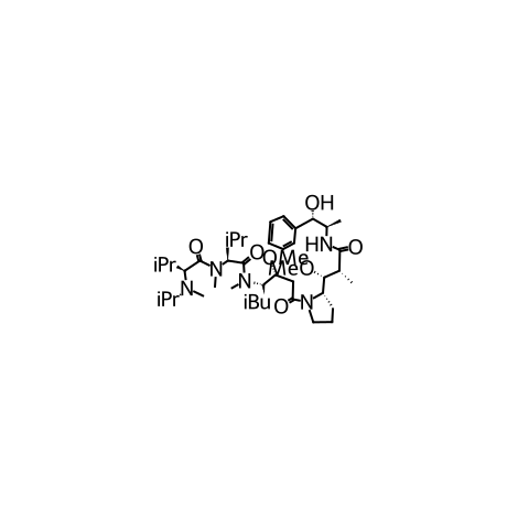 CC[C@H](C)[C@@H]([C@@H](CC(=O)N1CCC[C@H]1[C@H](OC)[C@@H](C)C(=O)N[C@H](C)[C@@H](O)c1ccccc1)OC)N(C)C(=O)[C@H](C(C)C)N(C)C(=O)[C@H](C(C)C)N(C)C(C)C